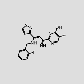 N=C(/C=C(\NCc1ccccc1F)c1ccsn1)c1ncc(F)c(O)n1